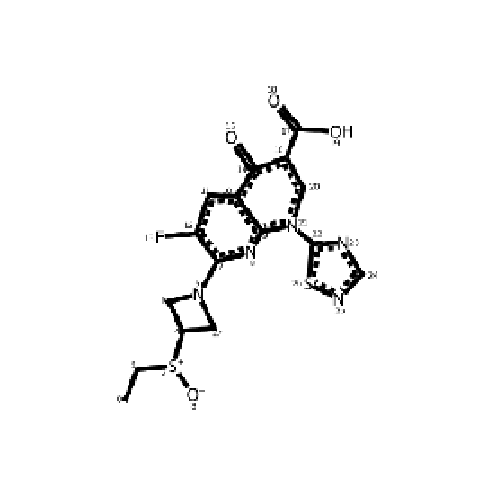 CC[S+]([O-])C1CN(c2nc3c(cc2F)c(=O)c(C(=O)O)cn3-c2ncns2)C1